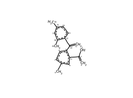 C=C(O)c1cc(C)ccc1C(=C)c1ccc(C)cc1C